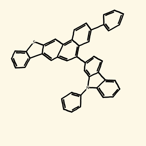 c1ccc(-c2ccc3c(c2)c(-c2ccc4c5ccccc5n(-c5ccccc5)c4c2)cc2cc4c(cc23)sc2ccccc24)cc1